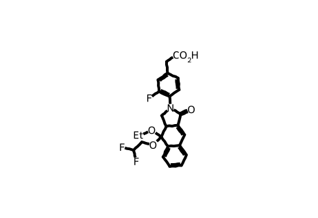 CCOC1(OCC(F)F)c2ccccc2C=C2C(=O)N(c3ccc(CC(=O)O)cc3F)CC21